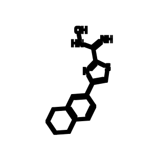 N=C(NO)c1nc(-c2ccc3c(c2)CCCC3)cs1